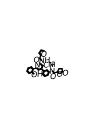 N#Cc1c(-c2cccc(NC(=O)C3CCC(=O)O3)c2)cc(-c2ccccc2O)nc1NC(=O)c1ccco1